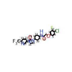 O=C(COc1ccc(Cl)c(F)c1)NC1CCC(N2CCN(c3ccc(C(F)(F)F)nc3)C2=O)CC1